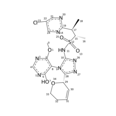 COc1ncnc(O)c1-n1c(NS(=O)(=O)[C@@H](C)[C@H](C)c2ncc(Cl)cn2)nnc1[C@@H]1C=CCCO1